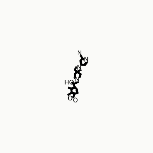 Cc1c(C(O)CN2CCC3(CC2)CCN(c2ccnc(C#N)c2)C3)ccc2c1COC2=O